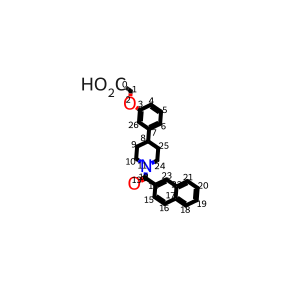 O=C(O)COc1cccc(C2CCN(C(=O)c3ccc4ccccc4c3)CC2)c1